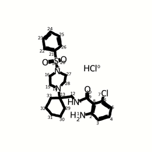 Cl.Nc1cccc(Cl)c1C(=O)NCC1(N2CCN(S(=O)(=O)c3ccccc3)CC2)CCCCC1